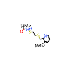 CNC(=O)NSCCSCc1ncccc1OC